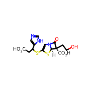 O=C(O)CC(SC1=CN2C(=O)[C@@](CCO)(C(=O)O)[C@H]2S1)c1cnc[nH]1